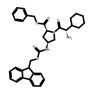 N[C@H](C(=O)N1C[C@@H](NC(=O)OCC2c3ccccc3-c3ccccc32)C[C@H]1C(=O)OCc1ccccc1)C1CCCCC1